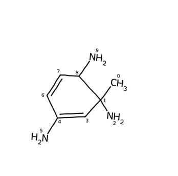 CC1(N)C=C(N)C=CC1N